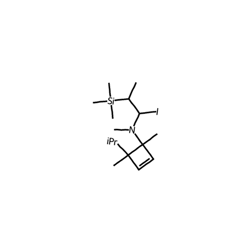 CC(C)C1(C)C=CC1(C)N(C)C(I)C(C)[Si](C)(C)C